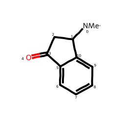 C[N]C1CC(=O)c2ccccc21